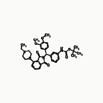 CCN1CCN(c2cccc3c2C(=O)N(C(c2cccc(NC(=O)OC(C)(C)C)c2)c2ccc(OC)c(OC)c2)C3=O)CC1